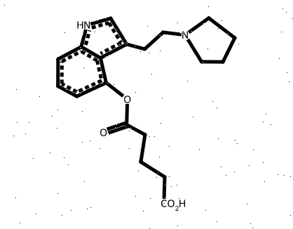 O=C(O)CCCC(=O)Oc1cccc2[nH]cc(CCN3CCCC3)c12